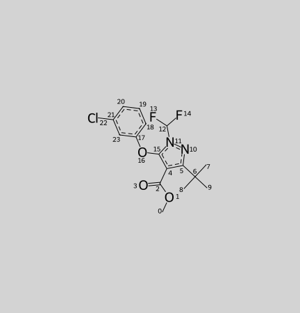 COC(=O)c1c(C(C)(C)C)nn(C(F)F)c1Oc1cccc(Cl)c1